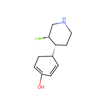 OC1=CCC([C@H]2CCNC[C@@H]2F)C=C1